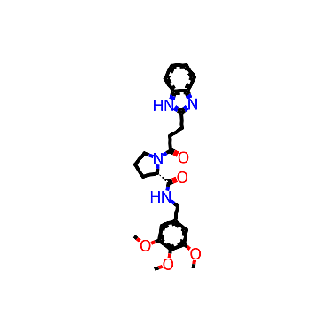 COc1cc(CNC(=O)[C@@H]2CCCN2C(=O)CCc2nc3ccccc3[nH]2)cc(OC)c1OC